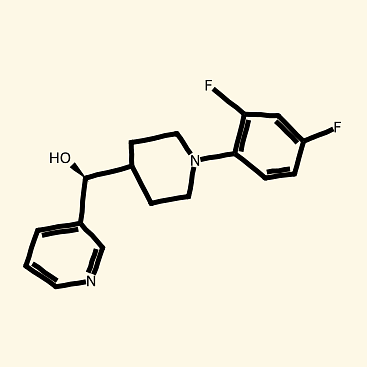 O[C@H](c1cccnc1)C1CCN(c2ccc(F)cc2F)CC1